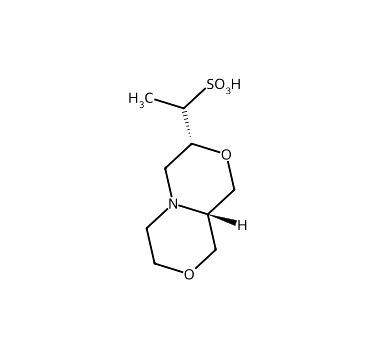 CC([C@H]1CN2CCOC[C@H]2CO1)S(=O)(=O)O